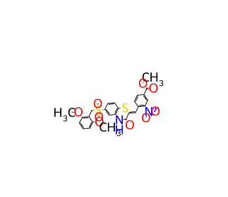 COC(=O)c1ccc(/C=C2\Sc3ccc(S(=O)(=O)Cc4c(OC)cccc4OC)cc3NC2=O)c([N+](=O)[O-])c1